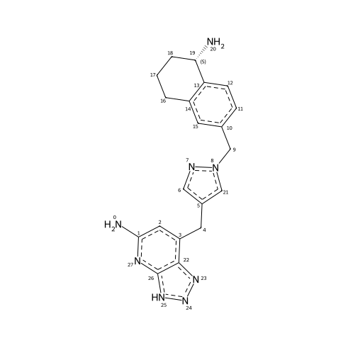 Nc1cc(Cc2cnn(Cc3ccc4c(c3)CCC[C@@H]4N)c2)c2nn[nH]c2n1